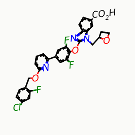 O=C(O)c1ccc2nc(Oc3c(F)cc(-c4cccc(OCc5ccc(Cl)cc5F)n4)cc3F)n(CC3CCO3)c2c1